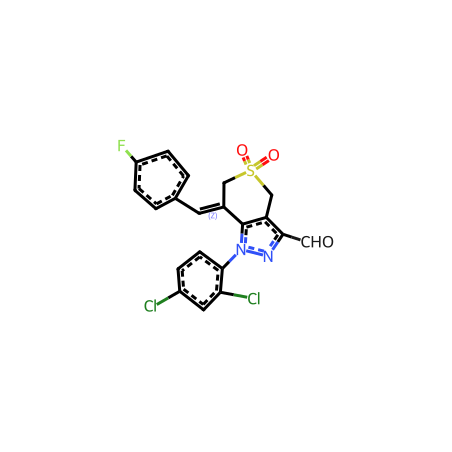 O=Cc1nn(-c2ccc(Cl)cc2Cl)c2c1CS(=O)(=O)C/C2=C\c1ccc(F)cc1